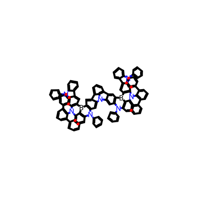 c1ccc(-c2cccc(-c3ccccc3)c2N2c3cc4c(cc3B3c5cc6c7cccc8c9cc%10c(cc9n(c6cc5N(c5ccccc5)c5cccc2c53)c78)N(c2ccccc2)c2cccc3c2B%10c2cc5c6ccccc6n(-c6ccccc6)c5cc2N3c2c(-c3ccccc3)cccc2-c2ccccc2)c2ccccc2n4-c2ccccc2)cc1